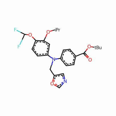 CC(C)Oc1cc(N(Cc2cnco2)c2ccc(C(=O)OC(C)(C)C)cc2)ccc1OC(F)F